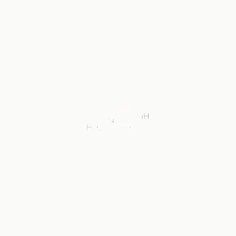 C[Si]12CC[SiH](O1)O2